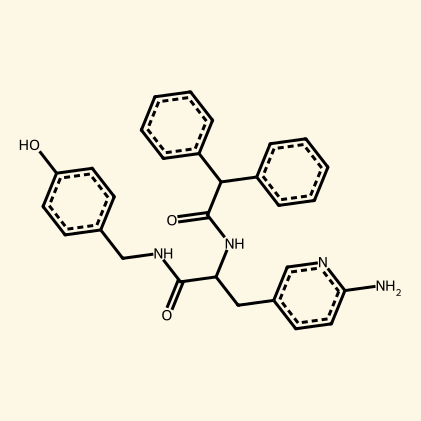 Nc1ccc(CC(NC(=O)C(c2ccccc2)c2ccccc2)C(=O)NCc2ccc(O)cc2)cn1